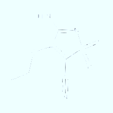 CCOC1=C(C#N)S(=O)(=O)N=C1N